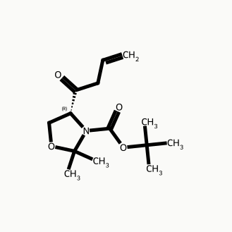 C=CCC(=O)[C@H]1COC(C)(C)N1C(=O)OC(C)(C)C